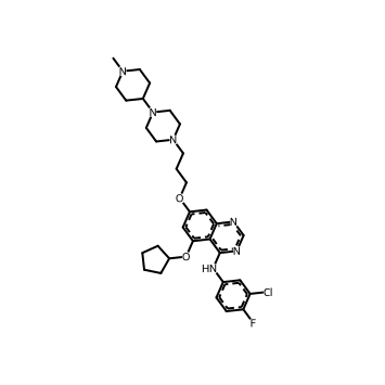 CN1CCC(N2CCN(CCCOc3cc(OC4CCCC4)c4c(Nc5ccc(F)c(Cl)c5)ncnc4c3)CC2)CC1